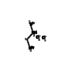 CCCC[NH][Ti+2].[Cl-].[Cl-]